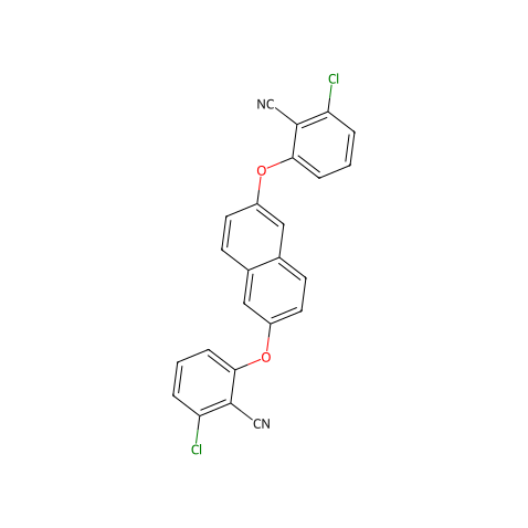 N#Cc1c(Cl)cccc1Oc1ccc2cc(Oc3cccc(Cl)c3C#N)ccc2c1